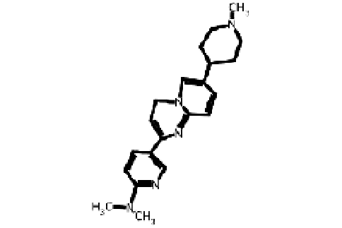 CN1CCC(C2=CN3CC=C(c4ccc(N(C)C)nc4)N=C3C=C2)CC1